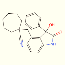 N#CC1(Cc2cccc3c2C(O)(c2ccccc2)C(=O)N3)CCCCCC1